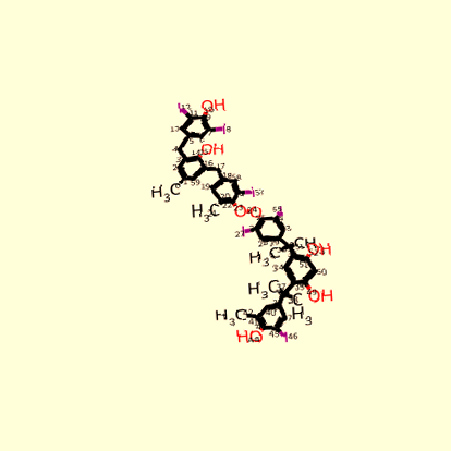 Cc1cc(Cc2cc(I)c(O)c(I)c2)c(O)c(Cc2cc(C)c(OOc3c(I)cc(C(C)(C)c4cc(C(C)(C)c5cc(C)c(O)c(I)c5)c(O)cc4O)cc3I)c(I)c2)c1